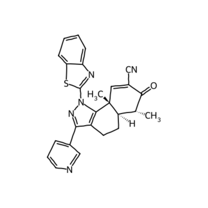 C[C@H]1C(=O)C(C#N)=C[C@@]2(C)c3c(c(-c4cccnc4)nn3-c3nc4ccccc4s3)CC[C@H]12